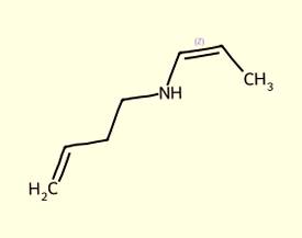 C=CCCN/C=C\C